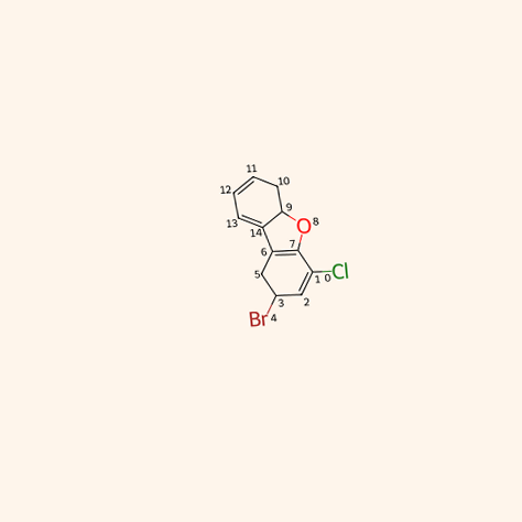 ClC1=CC(Br)CC2=C1OC1CC=CC=C21